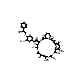 CCC1/C=C(\C)CC(C)CC(OC)C2OC(O)(C(=O)C(=O)N3CCCCC3C(=O)OC(C(C)=CC3CCC(OCC(O)c4ccccc4)C(OC)C3)C(C)C(O)CC1=O)C(C)CC2OC